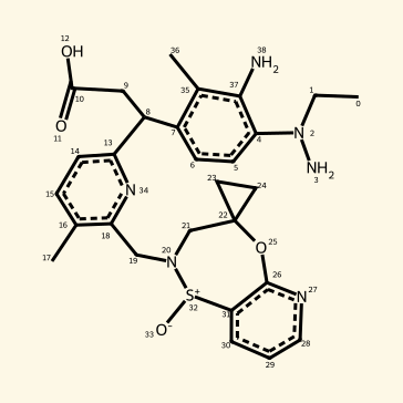 CCN(N)c1ccc(C(CC(=O)O)c2ccc(C)c(CN3CC4(CC4)Oc4ncccc4[S+]3[O-])n2)c(C)c1N